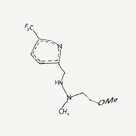 COCCN(C)NCc1ccc(C(F)(F)F)cn1